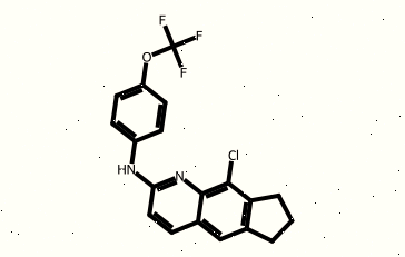 FC(F)(F)Oc1ccc(Nc2ccc3cc4c(c(Cl)c3n2)CCC4)cc1